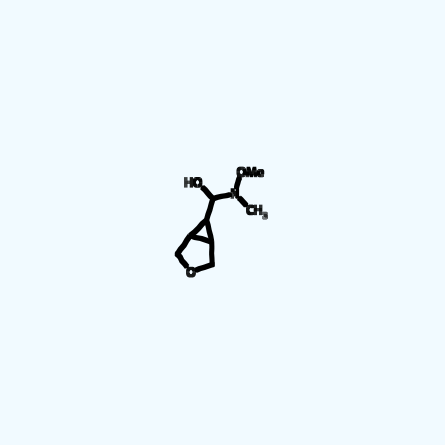 CON(C)C(O)C1C2COCC21